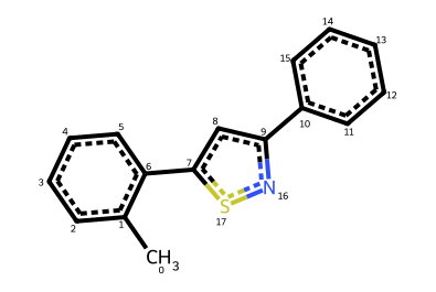 Cc1ccccc1-c1cc(-c2ccccc2)ns1